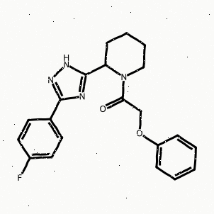 O=C(COc1ccccc1)N1CCCCC1c1nc(-c2ccc(F)cc2)n[nH]1